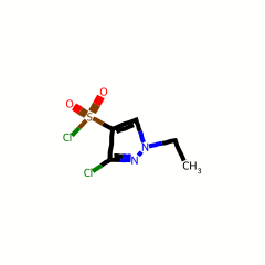 CCn1cc(S(=O)(=O)Cl)c(Cl)n1